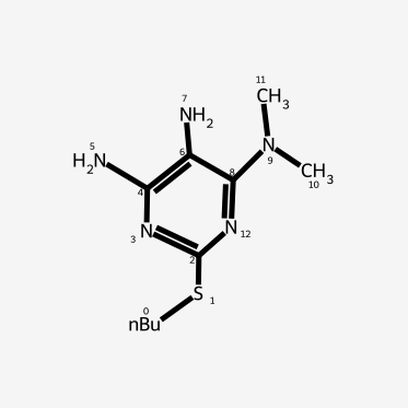 CCCCSc1nc(N)c(N)c(N(C)C)n1